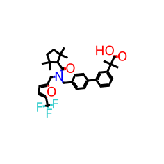 CC(C)(C(=O)O)c1cccc(-c2ccc(CN(Cc3ccc(C(F)(F)F)o3)C(=O)C3C(C)(C)CCC3(C)C)cc2)c1